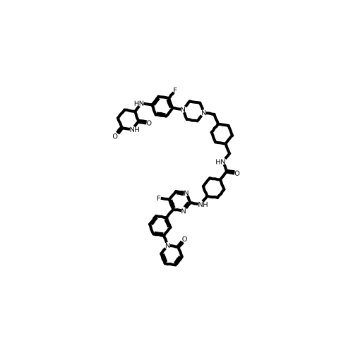 O=C1CCC(Nc2ccc(N3CCN(CC4CCC(CNC(=O)C5CCC(Nc6ncc(F)c(-c7cccc(-n8ccccc8=O)c7)n6)CC5)CC4)CC3)c(F)c2)C(=O)N1